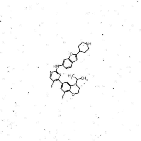 CC(C)N1CCOc2c(F)cc(-c3nc(Nc4ccc5cc(C6CCNCC6)oc5c4)ncc3F)cc21